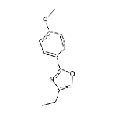 CCc1coc(-c2ccc(OC)cc2)n1